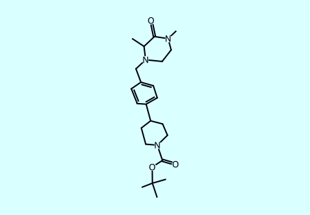 CC1C(=O)N(C)CCN1Cc1ccc(C2CCN(C(=O)OC(C)(C)C)CC2)cc1